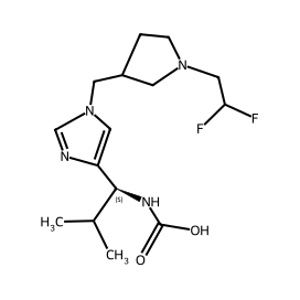 CC(C)[C@H](NC(=O)O)c1cn(CC2CCN(CC(F)F)C2)cn1